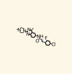 Cc1nc(N2CCN(C)CC2)nc2ccc(NC(=O)/C=C/c3ccc(Cl)cc3F)cc12